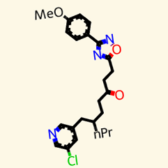 CCCC(CCC(=O)CCc1nc(-c2ccc(OC)cc2)no1)Cc1cncc(Cl)c1